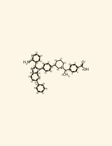 CC(c1ccc(C(=O)O)cc1)N1CCCC(c2ccc(-n3c(-c4cccnc4N)nc4ccc(-c5ccccc5)nc43)cc2)C1